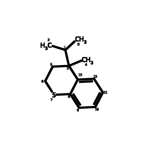 CC(C)C1(C)CCSc2ccccc21